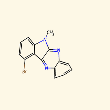 Cn1c2cccc(Br)c2c2nc3ccccc3nc21